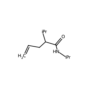 C=CCC(C(=O)NC(C)C)C(C)C